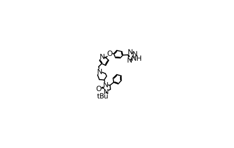 CC(C)(C)N1CC(c2ccccc2)N(C2CCN(Cc3ccc(Oc4ccc(-c5nn[nH]n5)cc4)nc3)CC2)C1=O